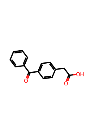 O=C(O)Cc1ccc(C(=O)c2ccccc2)cc1